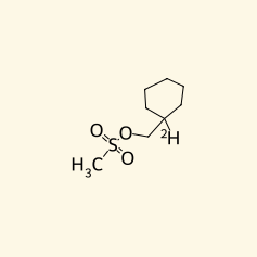 [2H]C1(COS(C)(=O)=O)CCCCC1